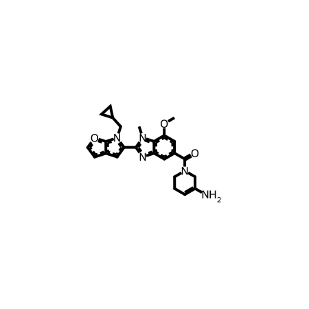 COc1cc(C(=O)N2CCC=C(N)C2)cc2nc(-c3cc4ccoc4n3CC3CC3)n(C)c12